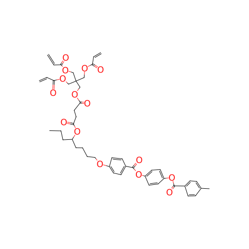 C=CC(=O)OCC(COC(=O)C=C)(COC(=O)C=C)COC(=O)CCC(=O)OC(CCC)CCCCOc1ccc(C(=O)Oc2ccc(OC(=O)c3ccc(C)cc3)cc2)cc1